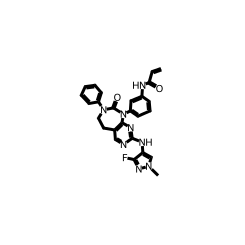 C=CC(=O)Nc1cccc(N2C(=O)N(c3ccccc3)CCc3cnc(Nc4cn(C)nc4F)nc32)c1